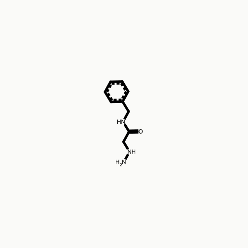 NNCC(=O)NCc1ccccc1